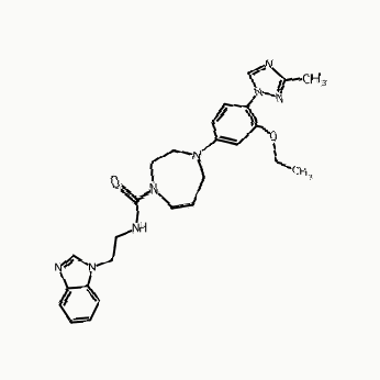 CCOc1cc(N2CCCN(C(=O)NCCn3cnc4ccccc43)CC2)ccc1-n1cnc(C)n1